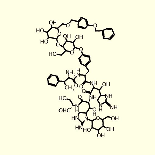 CC(c1ccccc1)[C@H](N)C(=O)N[C@@H](Cc1ccc(OC2OC(CO)C(OC3OC(COCc4ccc(OCc5ccccc5)cc4)C(O)C(O)C3O)C(O)C2O)cc1)C(=O)N[C@H](C(=O)N[C@H](C(=O)N[C@H]([C]=O)CO)C(O)C1CNC(=N)N1C1OC(CO)C(O)C(O)C1O)C(O)C1CNC(=N)N1